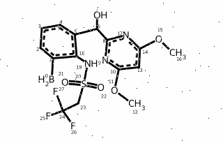 Bc1cccc(C(O)c2nc(OC)cc(OC)n2)c1NS(=O)(=O)CC(F)(F)F